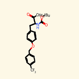 COC(=O)C(Cc1ccc(OCc2ccc(C(F)(F)F)cc2)cc1)NC(=O)OC(C)(C)C